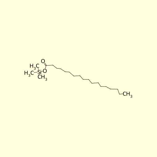 CCCCCCCCCCCCCCCCCC(=O)O[Si](C)(C)C